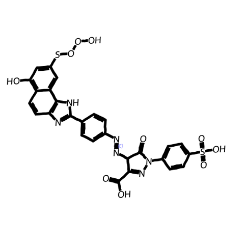 O=C(O)C1=NN(c2ccc(S(=O)(=O)O)cc2)C(=O)C1/N=N/c1ccc(-c2nc3ccc4c(O)cc(SOOO)cc4c3[nH]2)cc1